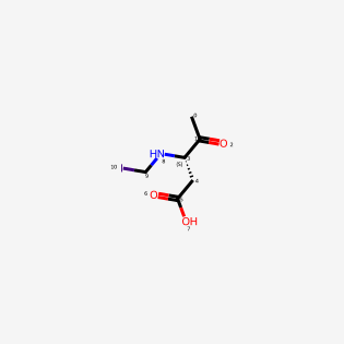 CC(=O)[C@H](CC(=O)O)NCI